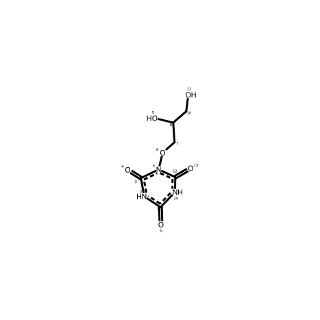 O=c1[nH]c(=O)n(OCC(O)CO)c(=O)[nH]1